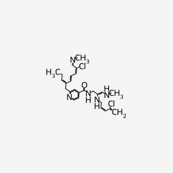 C=C(Cl)/C=C\CN/C(=C\NC)CNC(=O)c1ccnc(CC(=C/CC)/C=C/C=C(Cl)\C=N/C)c1